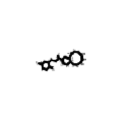 CC(CCC1CC(I)CCC1C)C1=CCC2CCCCCCCCC2=C1